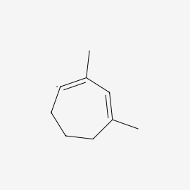 CC1=[C]CCCC(C)=C1